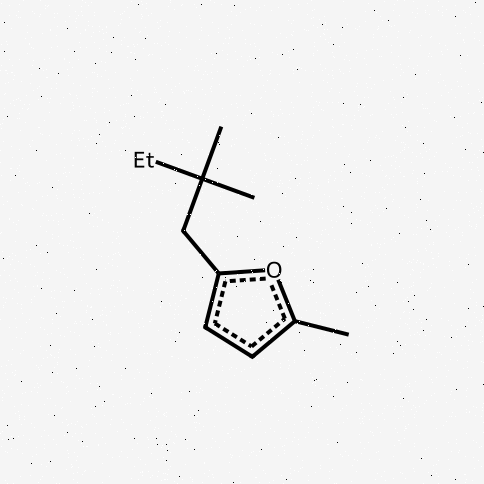 CCC(C)(C)Cc1ccc(C)o1